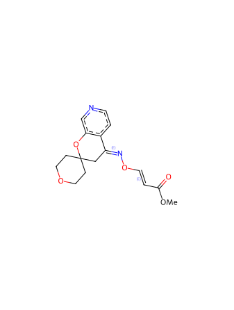 COC(=O)/C=C/O/N=C1\CC2(CCOCC2)Oc2cnccc21